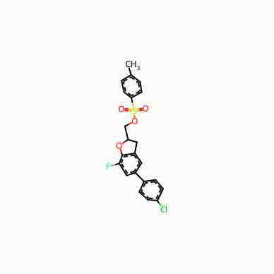 Cc1ccc(S(=O)(=O)OCC2Cc3cc(-c4ccc(Cl)cc4)cc(F)c3O2)cc1